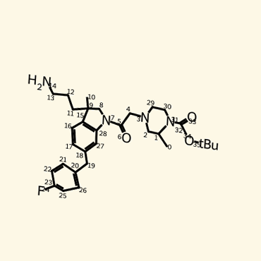 CC1CN(CC(=O)N2CC(C)(CCCN)c3ccc(Cc4ccc(F)cc4)cc32)CCN1C(=O)OC(C)(C)C